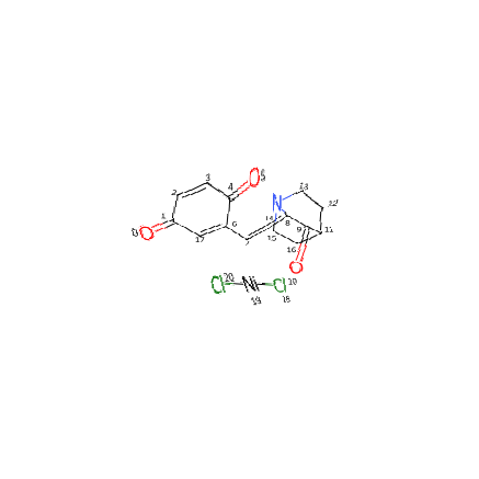 O=C1C=CC(=O)C(C=C2C(=O)C3CCN2CC3)=C1.[Cl][Ni][Cl]